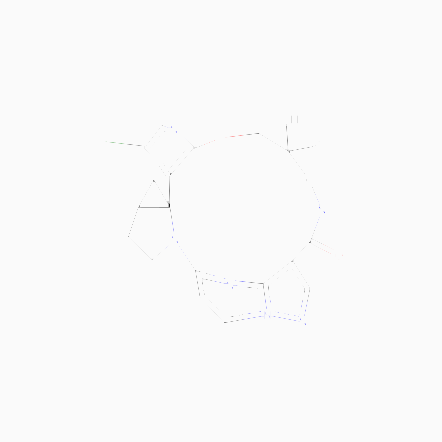 CC1(C)CNC(=O)c2cnn3ccc(nc23)N2CC[C@H]3CC32c2cc(F)cnc2OC1